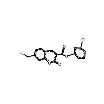 O=C(Oc1cccc(Cl)c1)c1cc2ccc(CO)cc2oc1=O